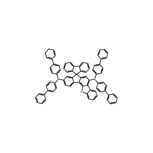 C1=CC(c2ccc(N(c3ccc(-c4ccccc4)cc3)c3ccc4c(c3)C3(c5ccccc5-c5ccccc53)c3cc(N(c5ccc(-c6ccccc6)cc5)c5ccc(-c6ccccc6)cc5)c5c(oc6ccccc65)c3-4)cc2)=CCC1